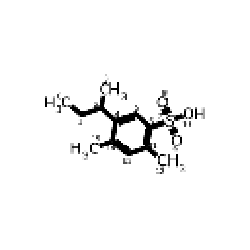 CCC(C)c1cc(S(=O)(=O)O)c(C)cc1C